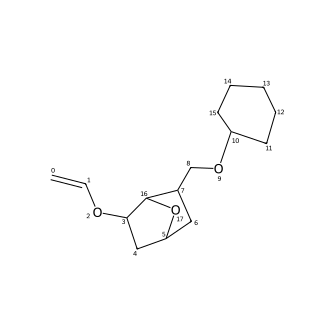 C=COC1CC2CC(COC3CCCCC3)C1O2